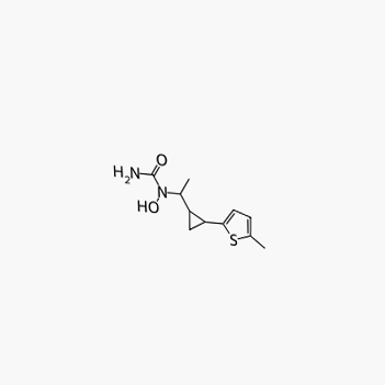 Cc1ccc(C2CC2C(C)N(O)C(N)=O)s1